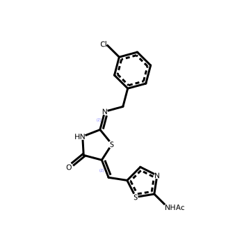 CC(=O)Nc1ncc(/C=C2\S/C(=N\Cc3cccc(Cl)c3)NC2=O)s1